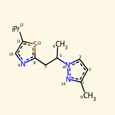 Cc1ccn(C(C)Cc2ncc(C(C)C)s2)n1